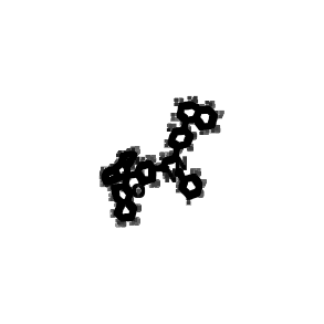 c1ccc(-c2nc(-c3ccc(-c4cccc5ccccc45)cc3)cc(-c3ccc4c(c3)Oc3c(ccc5ccccc35)C43c4ccccc4-c4ccccc43)n2)cc1